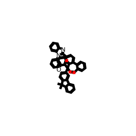 CC1(C)c2ccccc2-c2cc3c(cc21)Oc1ccccc1C31c2ccccc2-c2ccccc2-c2ccc(-c3nc4ccccc4n3-c3ccccc3)cc21